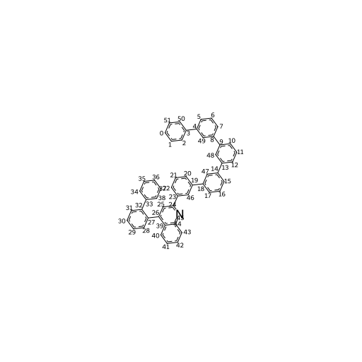 c1ccc(-c2cccc(-c3cccc(-c4cccc(-c5cccc(-c6cc(-c7ccccc7-c7ccccc7)c7ccccc7n6)c5)c4)c3)c2)cc1